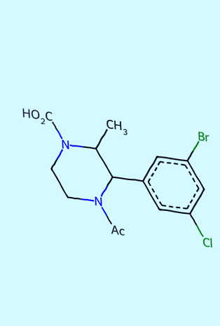 CC(=O)N1CCN(C(=O)O)C(C)C1c1cc(Cl)cc(Br)c1